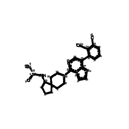 CC(C)(C)[S@@+]([O-])N[C@@H]1CCCC12CCN(c1ncc(-c3cccc(Cl)c3Cl)c3nccn13)CC2